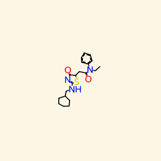 CCN(C(=O)CC1SC(NCC2CCCCC2)=NC1=O)c1ccccc1